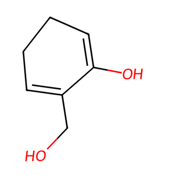 OCC1=CCCC=C1O